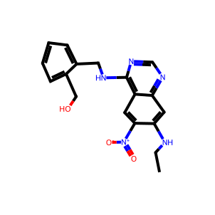 CCNc1cc2ncnc(NCc3ccccc3CO)c2cc1[N+](=O)[O-]